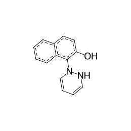 Oc1ccc2ccccc2c1N1C=CC=CN1